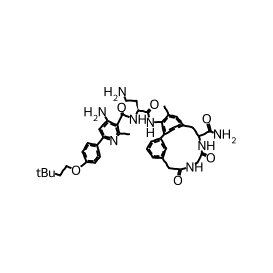 Cc1cc2cc(c1NC(=O)[C@H](CCN)NC(=O)c1c(N)cc(-c3ccc(OCCC(C)(C)C)cc3)nc1C)-c1cccc(c1)CC(=O)NCC(=O)NC(C(N)=O)C2